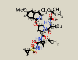 C=C[C@@H]1C[C@]1(NC(=O)[C@@H]1CC(Oc2nccc3cc(OC)ccc23)CN1C(=O)[C@@H](NC(=O)OC(C)(C)C(Cl)(Cl)Cl)C(C)(C)C)C(=O)NS(=O)(=O)C1CC1